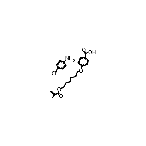 C=C(C)C(=O)OCCCCCCOc1ccc(C(=O)O)cc1.Nc1ccc(Cl)cc1